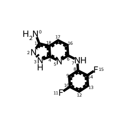 Nc1n[nH]c2nc(Nc3cc(F)ccc3F)ccc12